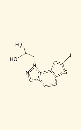 CC(O)Cn1ncc2ccc3sc(I)cc3c21